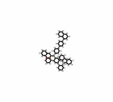 c1ccc(-c2cc(-c3ccccc3-n3c4ccccc4c4ccccc43)ccc2N(c2ccc(-c3ccc(-c4cccc5ccccc45)cc3)cc2)c2ccc3ccccc3c2)cc1